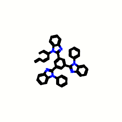 C=C/C=C\C(=C/C)n1c(-c2cc(-c3nc4ccccc4n3-c3ccccc3)cc(-c3nc4ccccc4n3-c3ccccc3)c2)nc2ccccc21